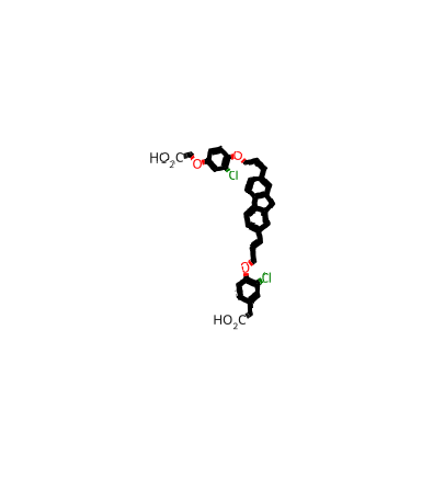 O=C(O)COc1ccc(OC/C=C\c2ccc3c(c2)Cc2cc(/C=C/COc4ccc(CC(=O)O)cc4Cl)ccc2-3)c(Cl)c1